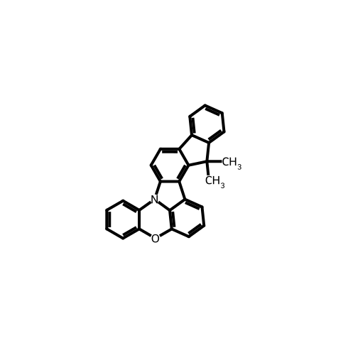 CC1(C)c2ccccc2-c2ccc3c(c21)c1cccc2c1n3-c1ccccc1O2